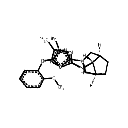 Cc1noc(N2C[C@H]3CC[C@@H](C2)[C@@H]3Nc2nc(Oc3ccccc3OC(F)(F)F)n(C(C)C)n2)n1